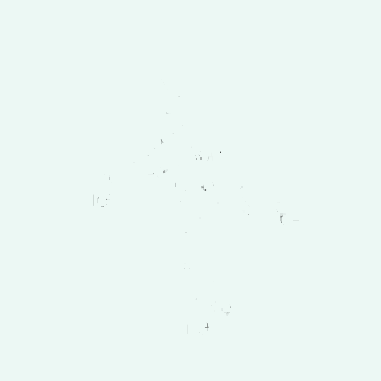 CCCCCCC(OCCCCO)C(O)C(O)C(CCCCCCCC(=O)O)OCCCCO